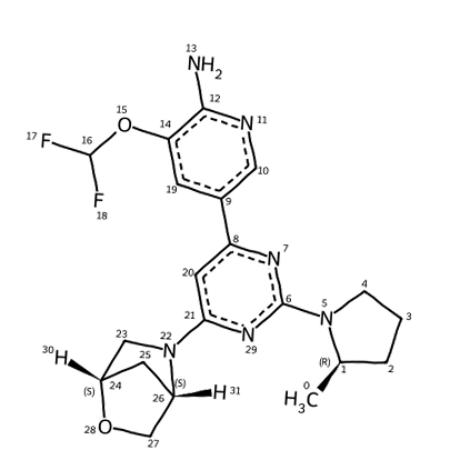 C[C@@H]1CCCN1c1nc(-c2cnc(N)c(OC(F)F)c2)cc(N2C[C@@H]3C[C@H]2CO3)n1